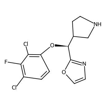 Fc1c(Cl)ccc(O[C@H](c2ncco2)C2CCNC2)c1Cl